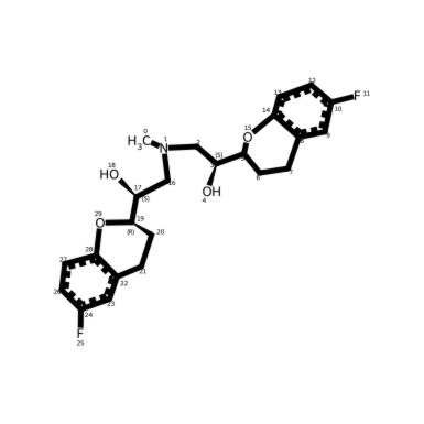 CN(C[C@H](O)C1CCc2cc(F)ccc2O1)C[C@H](O)[C@H]1CCc2cc(F)ccc2O1